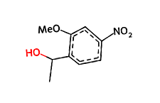 COc1cc([N+](=O)[O-])ccc1C(C)O